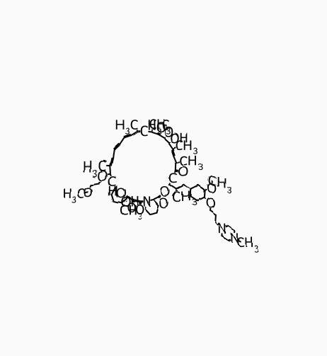 COCCOC1C[C@@H]2CC[C@@H](C)[C@@](O)(O2)C(=O)C(=O)N2CCCCC2C(=O)O[C@H]([C@H](C)C[C@@H]2CC[C@@H](OCCCN3CCN(C)CC3)[C@H](OC)C2)CC(=O)[C@H](C)/C=C(\C)[C@@H](O)[C@@H](OC)C(=O)[C@H](C)C[C@H](C)/C=C/C=C/C=C/1C